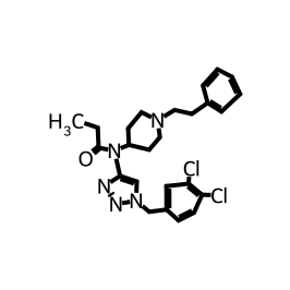 CCC(=O)N(c1cn(Cc2ccc(Cl)c(Cl)c2)nn1)C1CCN(CCc2ccccc2)CC1